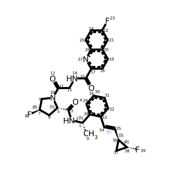 C[C@H](NC(=O)[C@@H]1C[C@@H](F)CN1C(=O)CNC(=O)c1ccc2cc(F)ccc2n1)c1ccccc1/C=C/[C@@H]1C[C@H]1F